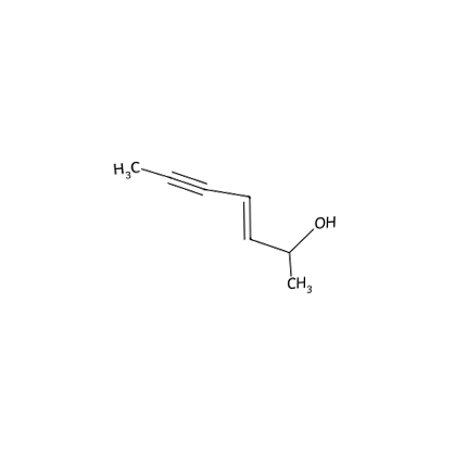 CC#CC=CC(C)O